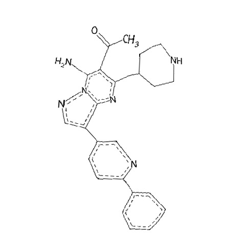 CC(=O)c1c(C2CCNCC2)nc2c(-c3ccc(-c4ccccc4)nc3)cnn2c1N